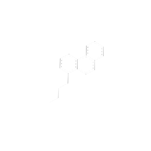 [CH2]CCCc1cccc2c1ccc1ccccc12